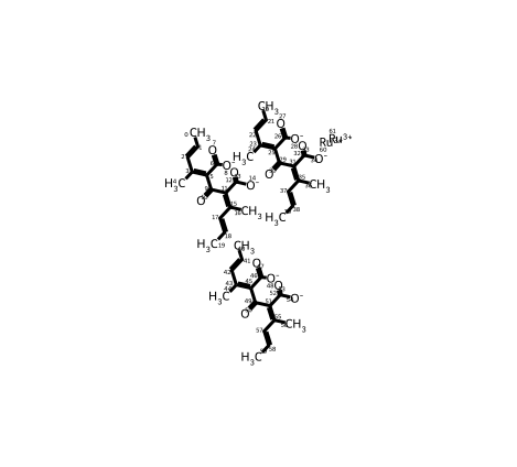 CC=CC(C)=C(C(=O)[O-])C(=O)C(C(=O)[O-])=C(C)C=CC.CC=CC(C)=C(C(=O)[O-])C(=O)C(C(=O)[O-])=C(C)C=CC.CC=CC(C)=C(C(=O)[O-])C(=O)C(C(=O)[O-])=C(C)C=CC.[Ru+3].[Ru+3]